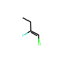 CCC(F)=CCl